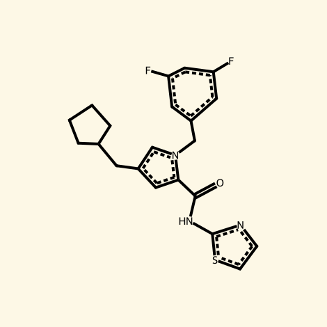 O=C(Nc1nccs1)c1cc(CC2CCCC2)cn1Cc1cc(F)cc(F)c1